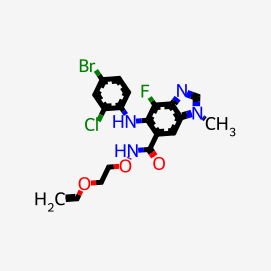 C=COCCONC(=O)c1cc2c(ncn2C)c(F)c1Nc1ccc(Br)cc1Cl